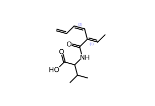 C=C/C=C\C(=C/C)C(=O)NC(C(=O)O)C(C)C